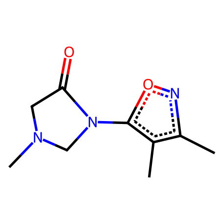 Cc1noc(N2CN(C)CC2=O)c1C